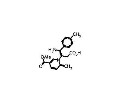 C=C1C=CC(C(=O)OC)=CN1/C(CC(=O)O)=C(\N)c1ccc(C)cc1